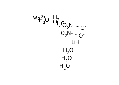 O.O.O.O.O.O.O=[N+]([O-])[O-].O=[N+]([O-])[O-].[LiH].[Mg+2]